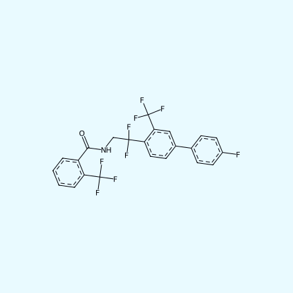 O=C(NCC(F)(F)c1ccc(-c2ccc(F)cc2)cc1C(F)(F)F)c1ccccc1C(F)(F)F